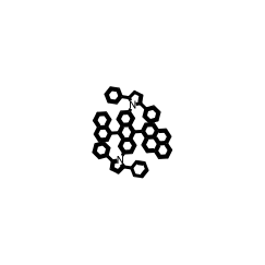 C1=CCC(c2ccc(-c3ccccc3)n2-c2ccc3c(-c4ccc5ccc6cccc7ccc4c5c67)c4cc(N5C(c6ccccc6)=CCC5c5ccccc5)ccc4c(-c4cccc5ccccc45)c3c2)C=C1